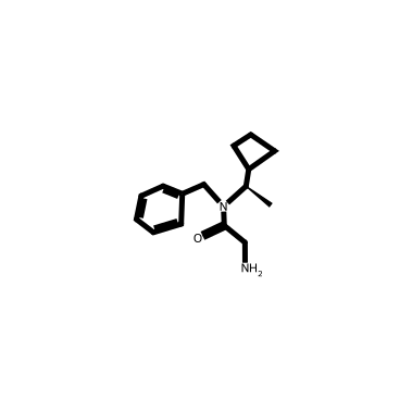 C[C@H](C1CCC1)N(Cc1ccccc1)C(=O)CN